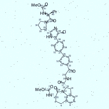 COC(=O)N[C@H]1CCc2cccc3c2N(C1=O)[C@H](C(=O)NCC(=O)c1ccc(-c2ccc(-c4[nH]c([C@@H]5CCCN5C(=O)[C@@H](NC(=O)OC)C(C)C)nc4Cl)cc2)cc1)C3